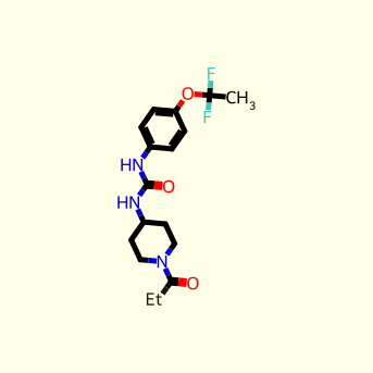 CCC(=O)N1CCC(NC(=O)Nc2ccc(OC(C)(F)F)cc2)CC1